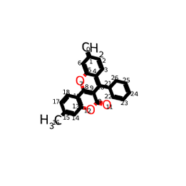 C=c1ccc2c(c1)Oc1c(c(=O)oc3cc(C)ccc13)C=2C1C=CC=CC1